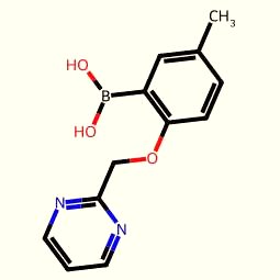 Cc1ccc(OCc2ncccn2)c(B(O)O)c1